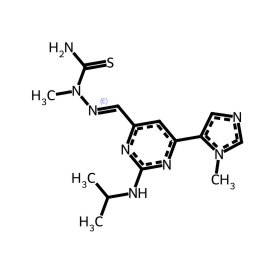 CC(C)Nc1nc(/C=N/N(C)C(N)=S)cc(-c2cncn2C)n1